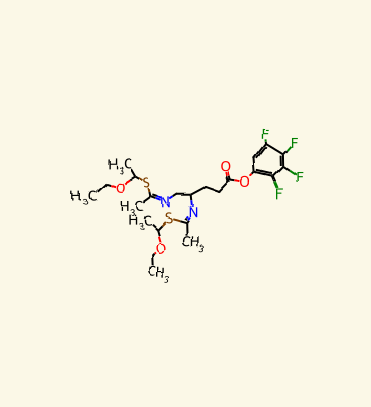 CCOC(C)SC(C)=NCC(CCC(=O)Oc1cc(F)c(F)c(F)c1F)N=C(C)SC(C)OCC